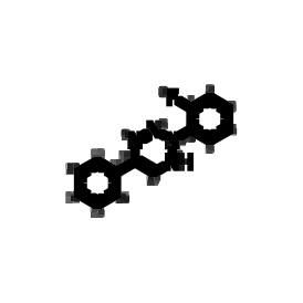 Fc1ccccc1N1N=NC(c2ccccc2)=CN1